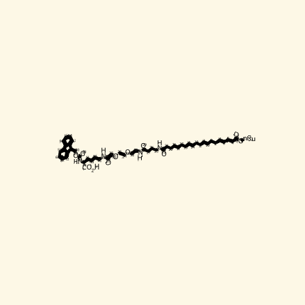 CCCCOC(=O)CCCCCCCCCCCCCCCCCCC(=O)NCCCC(=O)NCCOCCOCC(=O)NCCCC[C@H](NC(=O)OCC1c2ccccc2-c2ccccc21)C(=O)O